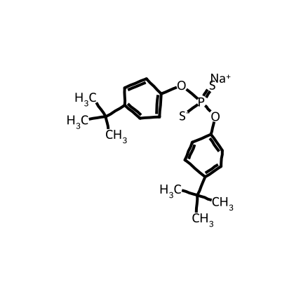 CC(C)(C)c1ccc(OP(=S)([S-])Oc2ccc(C(C)(C)C)cc2)cc1.[Na+]